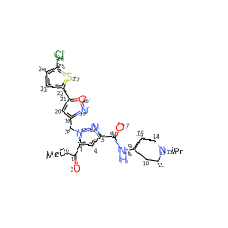 COC(=O)c1cc(C(=O)NC2CCN(C(C)C)CC2)nn1Cc1cc(-c2ccc(Cl)s2)on1